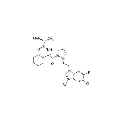 CN[C@@H](C)C(=O)N[C@H](C(=O)N1CCC[C@H]1CCn1cc(C(C)=O)c2cc(Cl)c(F)cc21)C1CCCCC1